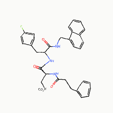 O=C(O)CC(NC(=O)CCc1ccccc1)C(=O)NC(Cc1ccc(F)cc1)C(=O)NCc1cccc2ccccc12